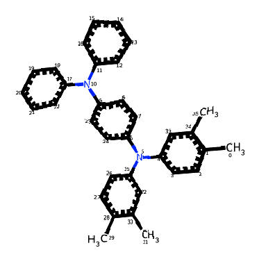 Cc1ccc(N(c2ccc(N(c3ccccc3)c3ccccc3)cc2)c2ccc(C)c(C)c2)cc1C